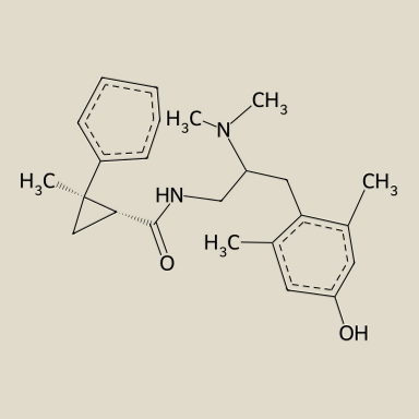 Cc1cc(O)cc(C)c1CC(CNC(=O)[C@@H]1C[C@@]1(C)c1ccccc1)N(C)C